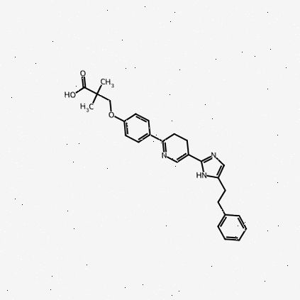 CC(C)(COc1ccc(C2=NC=C(c3ncc(CCc4ccccc4)[nH]3)CC2)cc1)C(=O)O